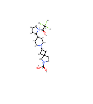 O=C(O)N1CCC2(CC(N3CCC(C4CCCN4C(=O)C(F)(F)F)CC3)C2)C1